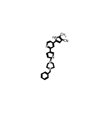 Cc1[nH]c(-c2ccnc(-c3ccc(N4CCN(Cc5ccccc5)CC4)nc3)c2)cc1C#N